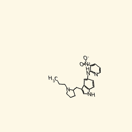 CCCN1CCCC1Cc1c[nH]c2ccc(Nc3ncccc3[N+](=O)[O-])cc12